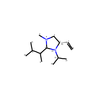 C=C[C@H]1CN(C)C(C(C)C(C)C)N1C(C)C